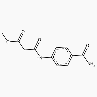 COC(=O)CC(=O)Nc1ccc(C(N)=O)cc1